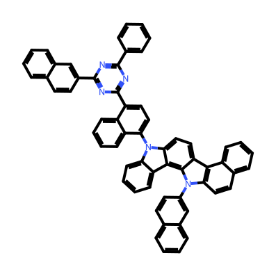 c1ccc(-c2nc(-c3ccc4ccccc4c3)nc(-c3ccc(-n4c5ccccc5c5c4ccc4c6c7ccccc7ccc6n(-c6ccc7ccccc7c6)c45)c4ccccc34)n2)cc1